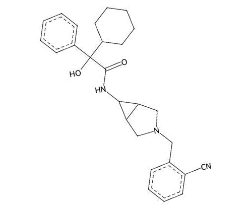 N#Cc1ccccc1CN1CC2C(C1)C2NC(=O)C(O)(c1ccccc1)C1CCCCC1